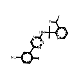 CC(C)(Nc1ncc(-c2cc(C#N)ccc2F)nn1)c1ncccc1C(F)F